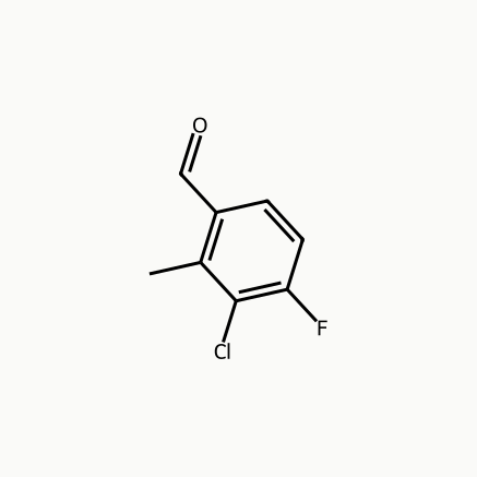 Cc1c(C=O)ccc(F)c1Cl